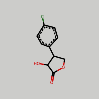 O=C1OCC(c2ccc(Cl)cc2)C1O